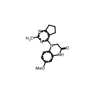 COc1ccc2c(c1)NC(=O)CN2c1nc(C)nc2c1CCC2